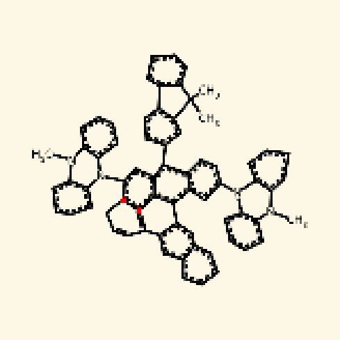 CN1c2ccccc2N(c2ccc3c(-c4cc5ccccc5cc4C4=CCCC=C4)c4cc(N5c6ccccc6N(C)c6ccccc65)ccc4c(-c4ccc5c(c4)C(C)(C)c4ccccc4-5)c3c2)c2ccccc21